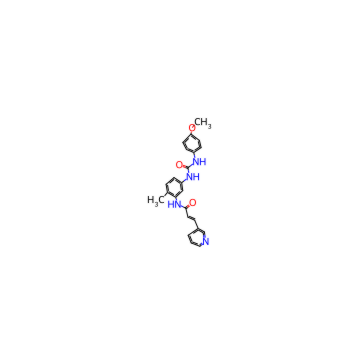 COc1ccc(NC(=O)Nc2ccc(C)c(NC(=O)C=Cc3cccnc3)c2)cc1